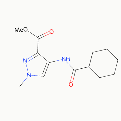 COC(=O)c1nn(C)cc1NC(=O)C1CCCCC1